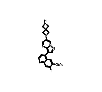 COc1cc2c(-c3cnn4cc(N5CC6(CNC6)C5)cnc34)ccnc2cc1F